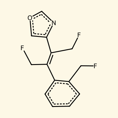 FCC(=C(CF)c1ccccc1CF)c1cocn1